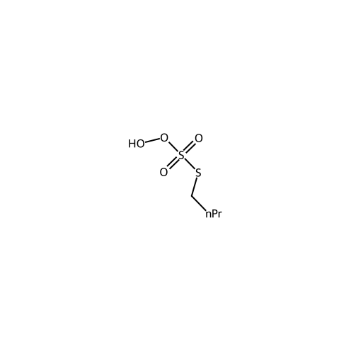 CCCCSS(=O)(=O)OO